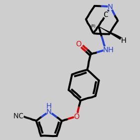 N#Cc1ccc(Oc2ccc(C(=O)N[C@H]3CN4CCC3CC4)cc2)[nH]1